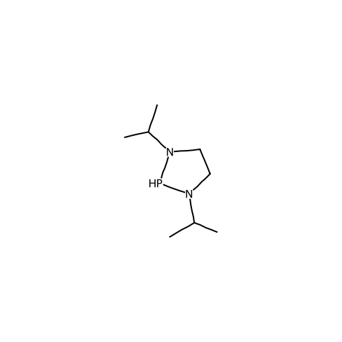 CC(C)N1CCN(C(C)C)P1